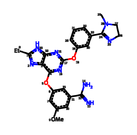 CCc1nc2c(Oc3cc(OC)cc(C(=N)N)c3)nc(Oc3cccc(C4=NCCN4C)c3)nc2[nH]1